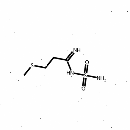 CSCCC(=N)NS(N)(=O)=O